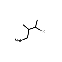 CCCC(C)C(C)CNC